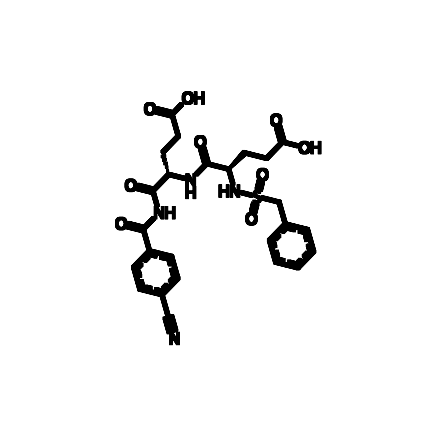 N#Cc1ccc(C(=O)NC(=O)[C@H](CCC(=O)O)NC(=O)[C@@H](CCC(=O)O)NS(=O)(=O)Cc2ccccc2)cc1